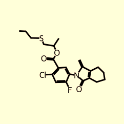 C=C1C2=C(CCCC2)C(=O)N1c1cc(C(=O)OC(C)CSCCC)c(Cl)cc1F